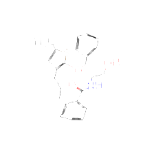 Cc1cc(CCCc2ccccc2C(=O)NCCO)c(OCc2ccccc2)s1